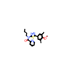 CCCCN(C(=O)c1ccccn1)c1nnc(-c2cc(C)c(OC)c(C)c2)s1